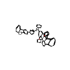 C1=CCC2C(=C1)C1(c3ccccc3)c3ccccc3C(c3ccccc3)(c3ccc(N(C4=CCC(c5ccc6oc7ccccc7c6c5)C=C4)c4ccccc4)cc3)c3cccc2c31